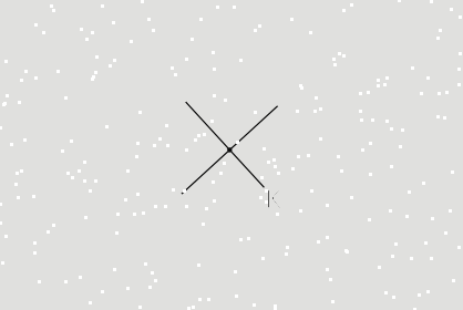 C[C](C)(C)[K]